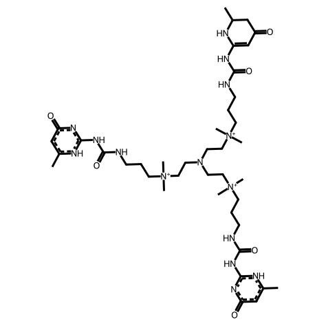 Cc1cc(=O)nc(NC(=O)NCCC[N+](C)(C)CCN(CC[N+](C)(C)CCCNC(=O)NC2=CC(=O)CC(C)N2)CC[N+](C)(C)CCCNC(=O)Nc2nc(=O)cc(C)[nH]2)[nH]1